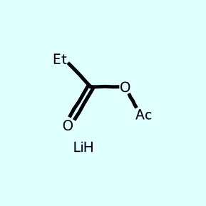 CCC(=O)OC(C)=O.[LiH]